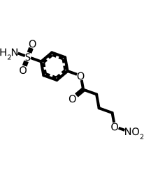 NS(=O)(=O)c1ccc(OC(=O)CCCO[N+](=O)[O-])cc1